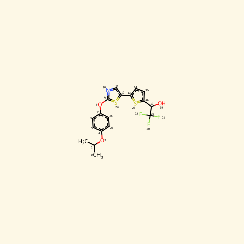 CC(C)Oc1ccc(Oc2ncc(-c3ccc(C(O)C(F)(F)F)s3)s2)cc1